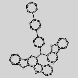 c1ccc(-c2ccc(-c3ccc(N(c4cccc5c4sc4ccccc45)c4cc5c6ccccc6oc5c5oc6ccccc6c45)cc3)cc2)cc1